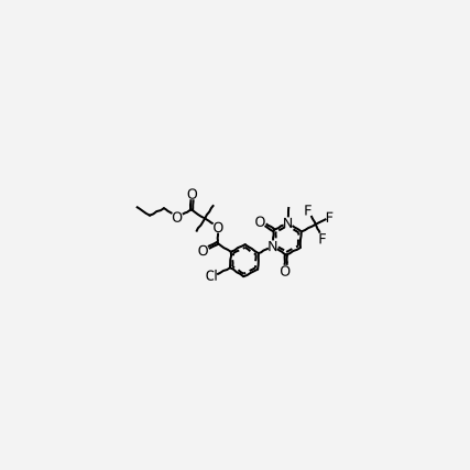 CCCOC(=O)C(C)(C)OC(=O)c1cc(-n2c(=O)cc(C(F)(F)F)n(C)c2=O)ccc1Cl